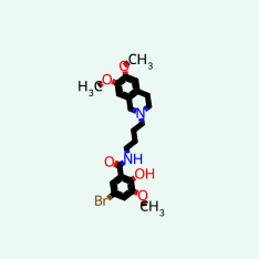 COc1cc2c(cc1OC)CN(CCCCNC(=O)c1cc(Br)cc(OC)c1O)CC2